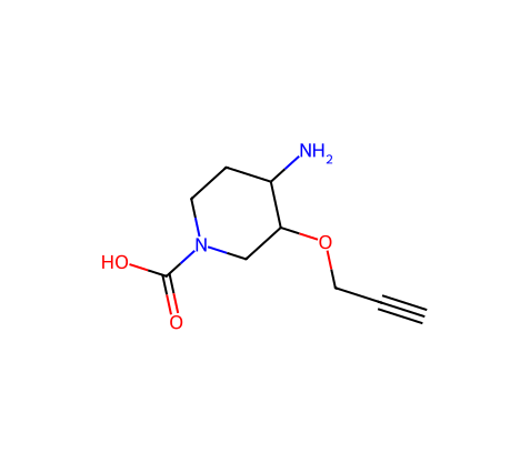 C#CCOC1CN(C(=O)O)CCC1N